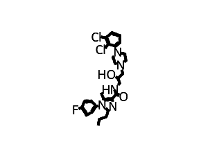 CCCc1nc(C(=O)NCC(O)CN2CCN(c3cccc(Cl)c3Cl)CC2)c(C)n1-c1ccc(F)cc1